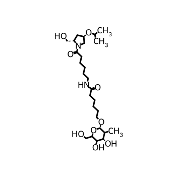 CC(C)O[C@@H]1C[C@@H](CO)N(C(=O)CCCCCNC(=O)CCCCCO[C@@H]2OC(CO)C(O)[C@H](O)C2C)C1